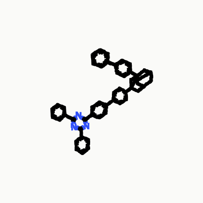 c1ccc(-c2ccc(C34CC5CC(C3)CC(c3ccc(-c6ccc(-c7nc(-c8ccccc8)nc(-c8ccccc8)n7)cc6)cc3)(C5)C4)cc2)cc1